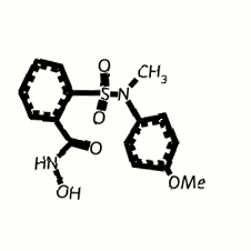 COc1ccc(N(C)S(=O)(=O)c2ccccc2C(=O)NO)cc1